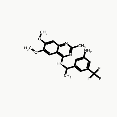 COc1cc2nc(C)nc(NC(C)c3cc(N)cc(C(F)(F)F)c3)c2cc1OC